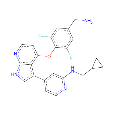 NCc1cc(F)c(Oc2ccnc3[nH]cc(-c4ccnc(NCC5CC5)c4)c23)c(F)c1